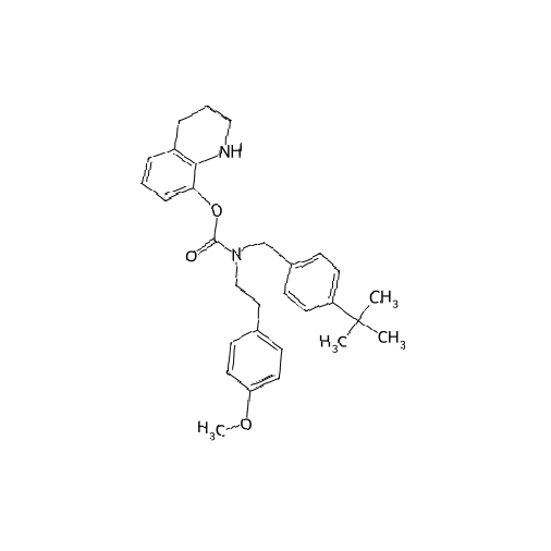 COc1ccc(CCN(Cc2ccc(C(C)(C)C)cc2)C(=O)Oc2cccc3c2NCCC3)cc1